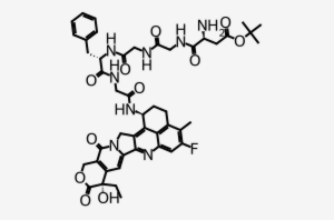 CC[C@@]1(O)C(=O)OCc2c1cc1n(c2=O)Cc2c-1nc1cc(F)c(C)c3c1c2[C@@H](NC(=O)CNC(=O)[C@H](Cc1ccccc1)NC(=O)CNC(=O)CNC(=O)[C@@H](N)CC(=O)OC(C)(C)C)CC3